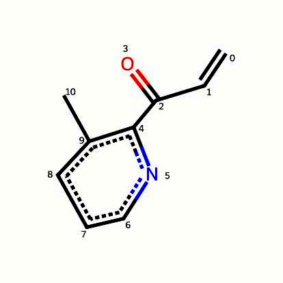 C=CC(=O)c1ncccc1C